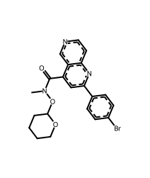 CN(OC1CCCCO1)C(=O)c1cc(-c2ccc(Br)cc2)nc2ccncc12